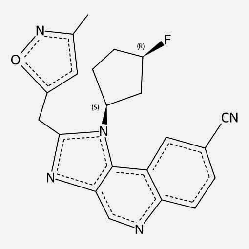 Cc1cc(Cc2nc3cnc4ccc(C#N)cc4c3n2[C@H]2CC[C@@H](F)C2)on1